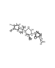 [2H]C([2H])(c1ccc(C)c(F)c1)C1C=C(Br)C(c2nnc(C3CC3)o2)CC1